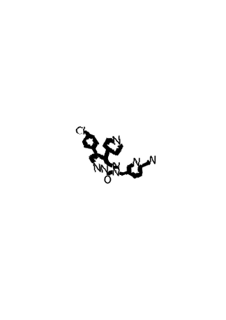 N#Cc1ccc(Cn2nc3c(-c4ccncc4)c(-c4ccc(Cl)cc4)cnn3c2=O)cn1